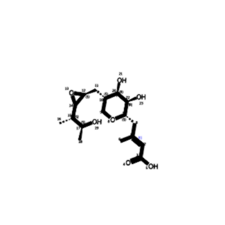 C/C(=C\C(=O)O)C[C@@H]1OC[C@H](C[C@@H]2OC2[C@@H](C)[C@H](C)O)[C@@H](O)[C@H]1O